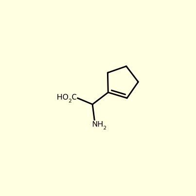 NC(C(=O)O)C1=CCCC1